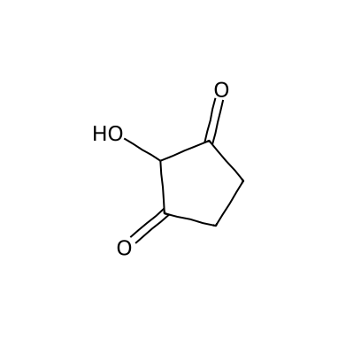 O=C1CCC(=O)C1O